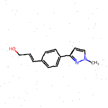 Cn1ccc(-c2ccc(C=CCO)cc2)n1